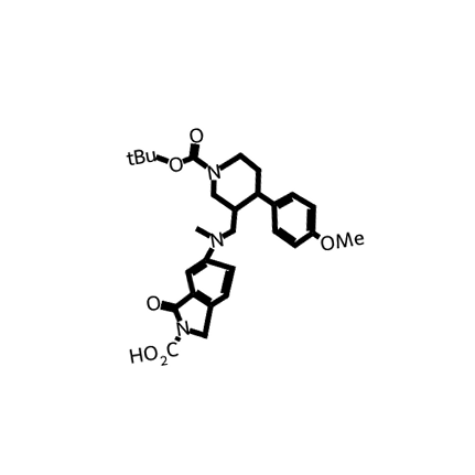 COc1ccc(C2CCN(C(=O)OC(C)(C)C)CC2CN(C)c2ccc3c(c2)C(=O)N(C(=O)O)C3)cc1